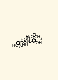 CC(C)(Cl)c1cc(O)cc(CNC[C@@H](O)C(Cc2ccccc2)NC(=O)O)c1